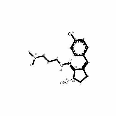 CCCC[C@H]1CCC(=Cc2ccc(Cl)cc2)C1=NOCCCN(C)C